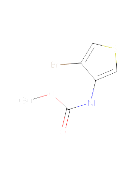 CC(C)(C)OC(=O)Nc1cscc1Br